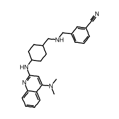 CN(C)c1cc(NC2CCC(CNCc3cccc(C#N)c3)CC2)nc2ccccc12